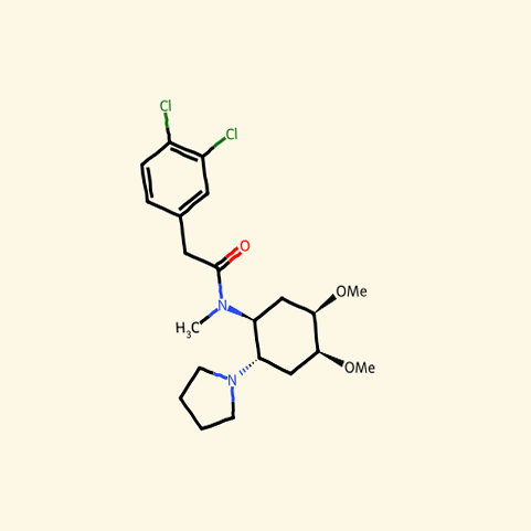 CO[C@H]1C[C@H](N2CCCC2)[C@@H](N(C)C(=O)Cc2ccc(Cl)c(Cl)c2)C[C@H]1OC